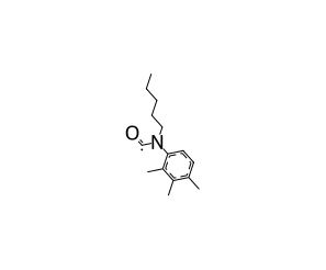 CCCCCN([C]=O)c1ccc(C)c(C)c1C